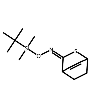 CC(C)(C)[Si](C)(C)ON=C1SC2C=CC1CC2